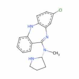 CN(C1=Nc2cc(Cl)ccc2Nc2ccccc21)[C@@H]1CCCN1